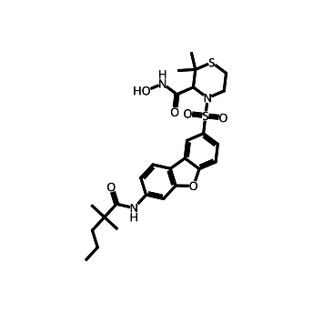 CCCC(C)(C)C(=O)Nc1ccc2c(c1)oc1ccc(S(=O)(=O)N3CCSC(C)(C)C3C(=O)NO)cc12